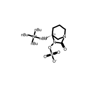 CCCC[N+](CCCC)(CCCC)CCCC.O=C1N2CCC[C@@H](C2)N1OS(=O)(=O)[O-]